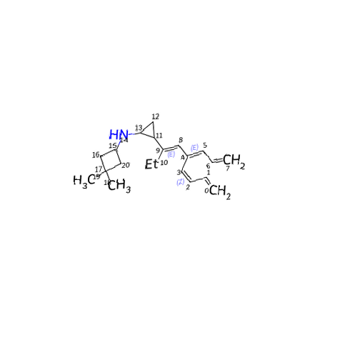 C=C\C=C/C(=C\C=C)/C=C(\CC)C1CC1NC1CC(C)(C)C1